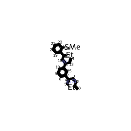 C=C/C=C\C(=C/CC)c1cccc(/C(C=C)=C/C(CC)c2ccccc2SC)c1